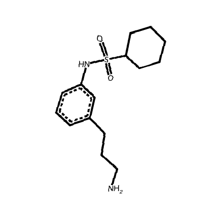 NCCCc1cccc(NS(=O)(=O)C2CCCCC2)c1